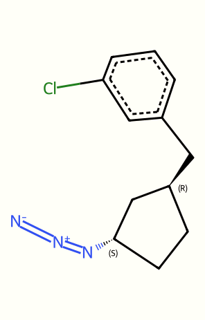 [N-]=[N+]=N[C@H]1CC[C@H](Cc2cccc(Cl)c2)C1